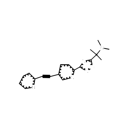 CN(C)C(C)(C)c1nc(-c2ccc(C#Cc3ccccn3)cn2)no1